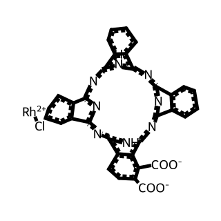 O=C([O-])c1ccc2c3nc4nc(nc5[nH]c(nc6nc(nc([nH]3)c2c1C(=O)[O-])-c1ccccc1-6)c1ccccc51)-c1ccccc1-4.[Cl][Rh+2]